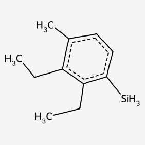 CCc1c(C)ccc([SiH3])c1CC